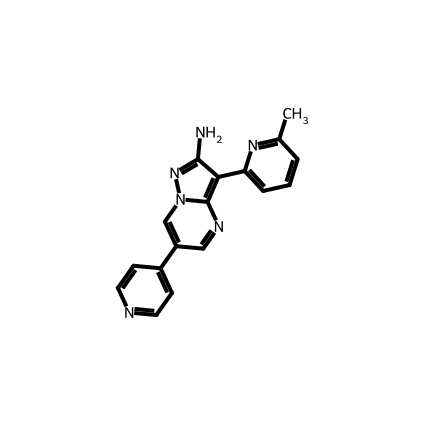 Cc1cccc(-c2c(N)nn3cc(-c4ccncc4)cnc23)n1